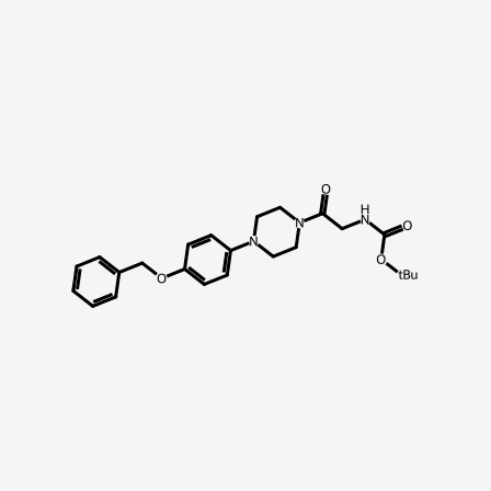 CC(C)(C)OC(=O)NCC(=O)N1CCN(c2ccc(OCc3ccccc3)cc2)CC1